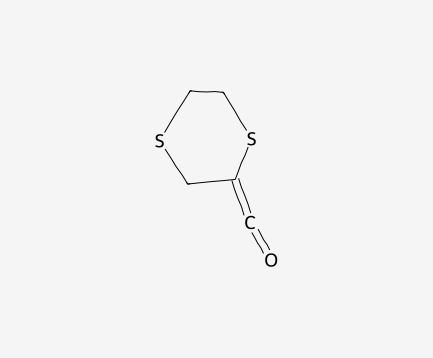 O=C=C1CSCCS1